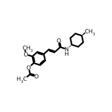 COc1cc(C=CC(=O)N[C@H]2CC[C@H](C)CC2)ccc1OC(C)=O